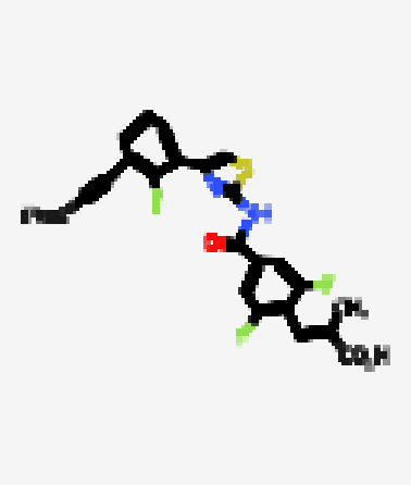 CCCC(C)C#Cc1cccc(-c2csc(NC(=O)c3cc(F)c(C=C(C)C(=O)O)c(F)c3)n2)c1F